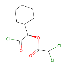 O=C(O[C@@H](C(=O)Cl)C1CCCCC1)C(Cl)Cl